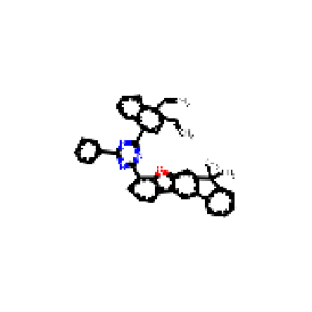 C=Cc1cc(-c2nc(-c3ccccc3)nc(-c3cccc4c3oc3cc5c(cc34)-c3ccccc3C5(C)C)n2)c2ccccc2c1C=C